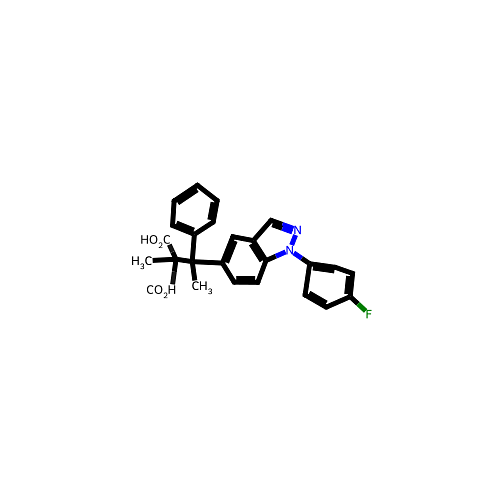 CC(C(=O)O)(C(=O)O)C(C)(c1ccccc1)c1ccc2c(cnn2-c2ccc(F)cc2)c1